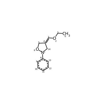 CCOC=C1CON(c2ccccc2)C1